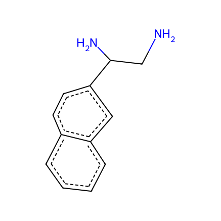 NCC(N)c1ccc2ccccc2c1